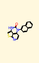 O=C1Nc2csc3nccc(c23)N1c1ccc2ccccc2c1